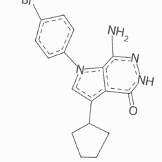 Nc1n[nH]c(=O)c2c(C3CCCC3)cn(-c3ccc(Br)cc3)c12